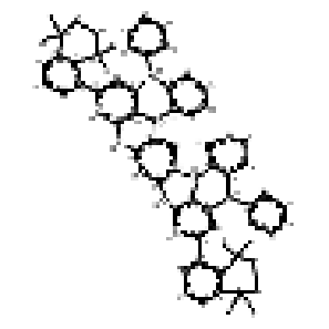 CC1(C)CCC(C)(C)c2c(-c3cc4c5c(n3)Oc3cc6c(cc3B5c3ccccc3N4c3ccccc3)B3c4ccccc4N(c4ccccc4)c4cc(-c5cccc7c5C(C)(C)CCC7(C)C)nc(c43)O6)cccc21